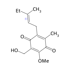 CC/C(C)=C/CC1=C(C)C(=O)C(OC)=C(CO)C1=O